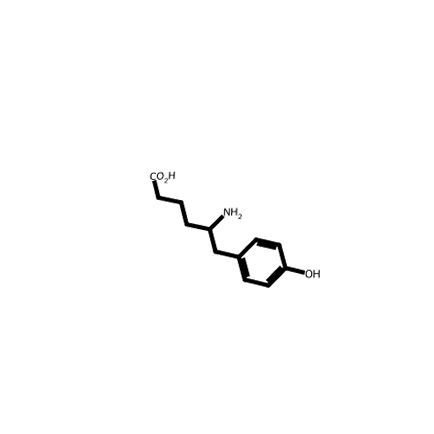 NC(CCCC(=O)O)Cc1ccc(O)cc1